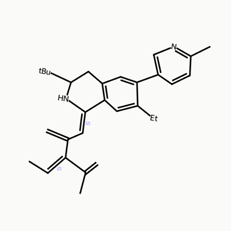 C=C(C)/C(=C/C)C(=C)/C=C1\NC(C(C)(C)C)Cc2cc(-c3ccc(C)nc3)c(CC)cc21